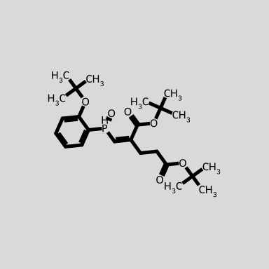 CC(C)(C)OC(=O)CCC(=C[PH](=O)c1ccccc1OC(C)(C)C)C(=O)OC(C)(C)C